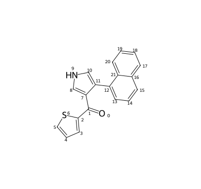 O=C(c1cccs1)c1c[nH]cc1-c1cccc2ccccc12